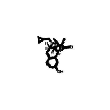 CC1C(=O)C[C@]23CCN(CC4CC4)[C@H](Cc4ccc(O)cc42)[C@@H]3C1C